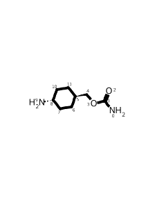 NC(=O)OC[C@H]1CC[C@H](N)CC1